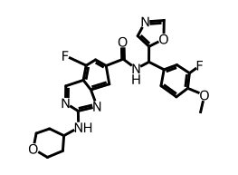 COc1ccc(C(NC(=O)c2cc(F)c3cnc(NC4CCOCC4)nc3c2)c2cnco2)cc1F